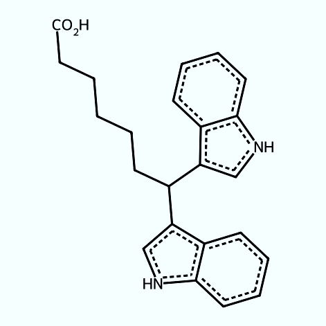 O=C(O)CCCCCC(c1c[nH]c2ccccc12)c1c[nH]c2ccccc12